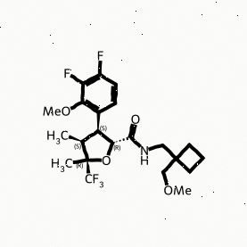 COCC1(CNC(=O)[C@@H]2O[C@@](C)(C(F)(F)F)[C@@H](C)[C@H]2c2ccc(F)c(F)c2OC)CCC1